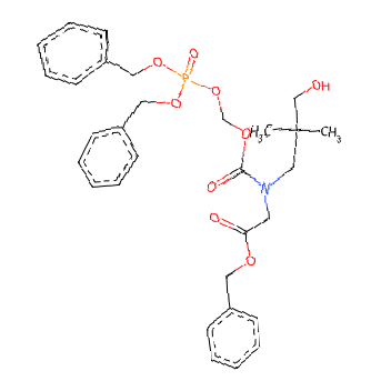 CC(C)(CO)CN(CC(=O)OCc1ccccc1)C(=O)OCOP(=O)(OCc1ccccc1)OCc1ccccc1